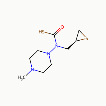 CN1CCN(N(C[C@H]2CS2)C(=O)S)CC1